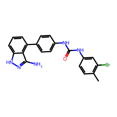 Cc1ccc(NC(=O)Nc2ccc(-c3cccc4[nH]nc(N)c34)cc2)cc1Br